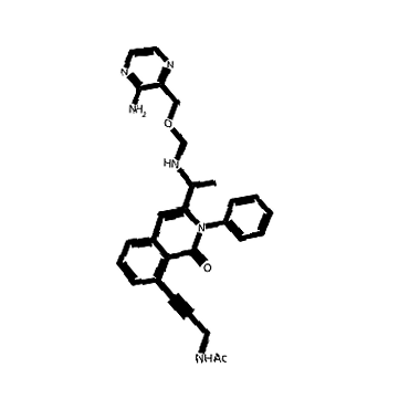 CC(=O)NCC#Cc1cccc2cc(C(C)NCOCc3nccnc3N)n(-c3ccccc3)c(=O)c12